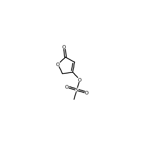 CS(=O)(=O)OC1=CC(=O)OC1